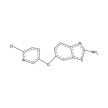 Nc1nc2ccc(Oc3ccc(Cl)nc3)cc2s1